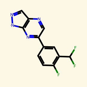 Fc1ccc(-c2cnc3c(n2)[N]N=C3)cc1C(F)F